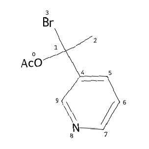 CC(=O)OC(C)(Br)c1cccnc1